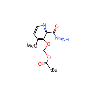 COc1ccnc(C(=O)N=N)c1OCOC(=O)C(C)(C)C